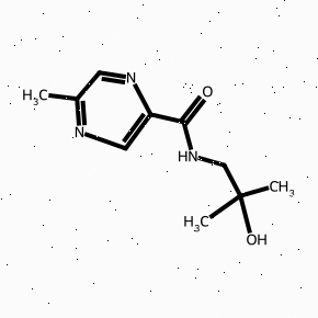 Cc1cnc(C(=O)NCC(C)(C)O)cn1